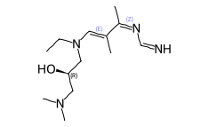 CCN(/C=C(C)/C(C)=N\C=N)C[C@H](O)CN(C)C